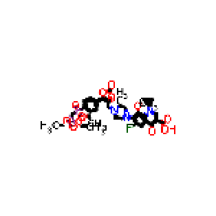 CCOP(=O)(CP(=O)(OCC)c1ccc(-c2oc(=O)oc2CN2CCN(c3c(F)cc4c(=O)c(C(=O)O)cn(C5CC5)c4c3OC)CC2C)cc1)OCC